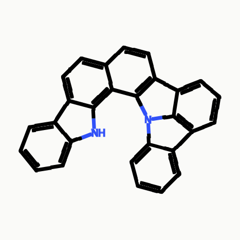 c1ccc2c(c1)[nH]c1c2ccc2ccc3c4cccc5c6ccccc6n(c54)c3c21